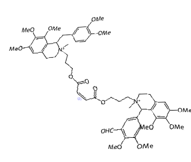 COc1ccc(CC2c3c(cc(OC)c(OC)c3OC)CC[N+]2(C)CCCOC(=O)/C=C\C(=O)OCCC[N+]2(C)CCc3cc(OC)c(OC)c(OC)c3C2c2cc(C=O)c(OC)c(OC)c2)cc1OC